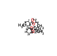 C=CC1COC(C2CCC(C)CC2)O1.C=C[C@@]1(C)COC2(CCCCC2)O1